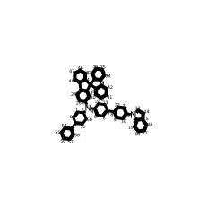 C1=CC(N(C2=CC=C(c3ccc(-n4ccc5ccccc54)cc3)CC2)c2ccc3c(c2)C(c2ccccc2)(c2ccccc2)c2ccccc2-3)CC=C1c1ccccc1